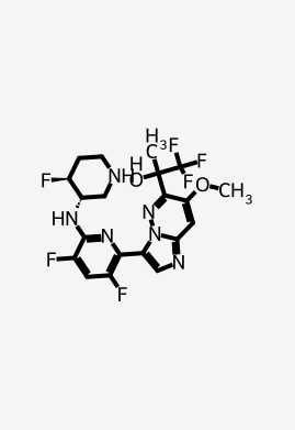 COc1cc2ncc(-c3nc(N[C@H]4CNCC[C@@H]4F)c(F)cc3F)n2nc1C(C)(O)C(F)(F)F